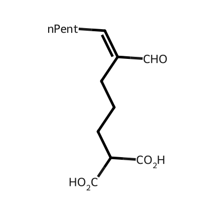 CCCCCC=C(C=O)CCCC(C(=O)O)C(=O)O